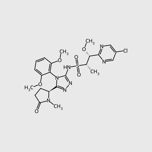 COc1cccc(OC)c1-n1c(NS(=O)(=O)[C@@H](C)[C@H](OC)c2ncc(Cl)cn2)nnc1[C@@H]1CCC(=O)N1C